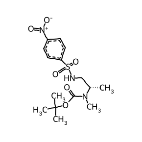 C[C@@H](CNS(=O)(=O)c1ccc([N+](=O)[O-])cc1)N(C)C(=O)OC(C)(C)C